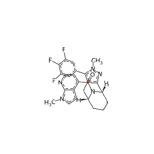 Cn1nc2c(c1-c1cc(F)c(F)c(F)c1)C[C@H]1CCC[C@@H]2N1C(=O)c1ccnc2c1ccn2C